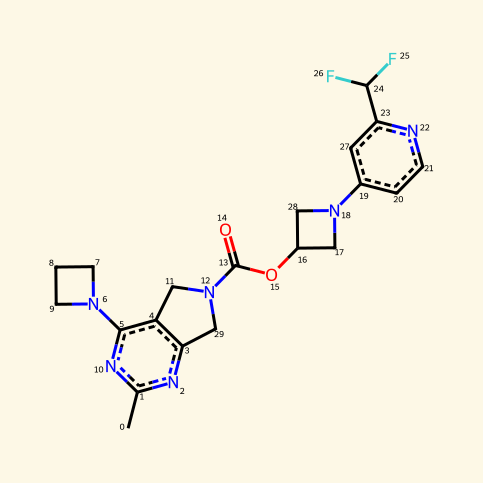 Cc1nc2c(c(N3CCC3)n1)CN(C(=O)OC1CN(c3ccnc(C(F)F)c3)C1)C2